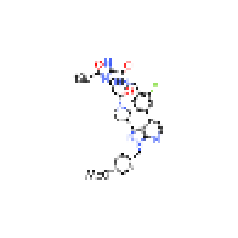 C=CC(=O)N1CCC(c2nn(Cc3ccc(OC)cc3)c3nccc(-c4ccc(CNC(=O)c5noc(C(C)(C)C)n5)c(F)c4)c23)C1